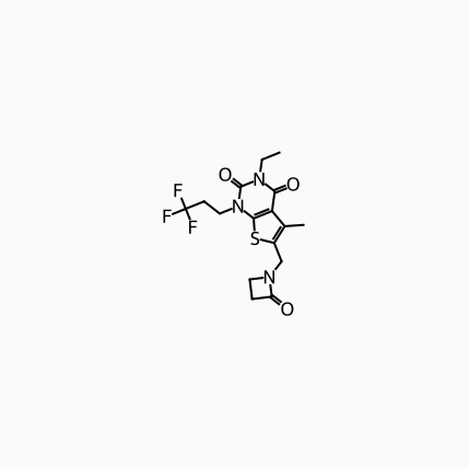 CCn1c(=O)c2c(C)c(CN3CCC3=O)sc2n(CCC(F)(F)F)c1=O